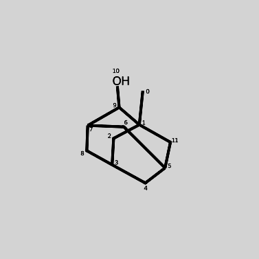 CC12CC3CC(CC(C3)C1O)C2